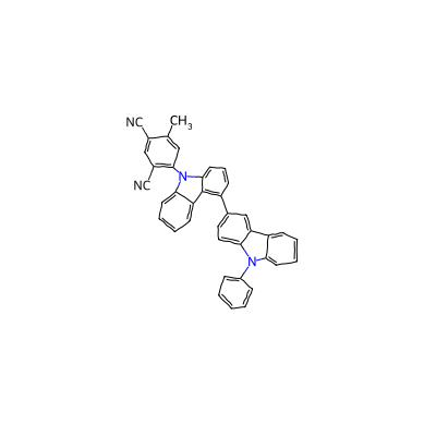 Cc1cc(-n2c3ccccc3c3c(-c4ccc5c(c4)c4ccccc4n5-c4ccccc4)cccc32)c(C#N)cc1C#N